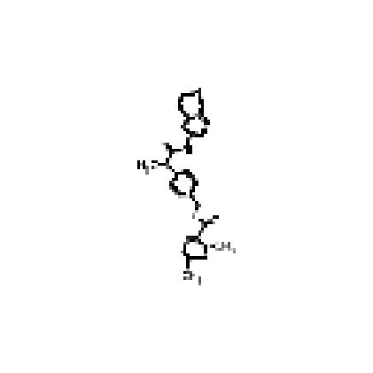 Cc1ccc(C(=O)OCc2ccc(C(C)C(=O)Nc3ccc4cnccc4c3)cc2)c(C)c1